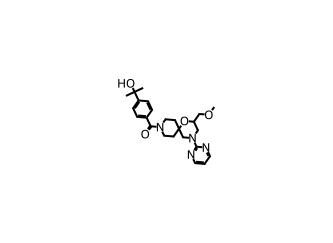 COCC1CN(c2ncccn2)CC2(CCN(C(=O)c3ccc(C(C)(C)O)cc3)CC2)O1